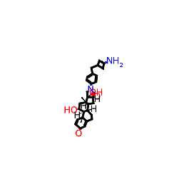 C[C@]12C=CC(=O)C=C1CC[C@@H]1[C@@H]2[C@@H](O)C[C@@]2(C)[C@H]1C[C@H]1CN(c3ccc(CC45CC(N)(C4)C5)cc3)C[C@]12C(=O)O